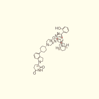 Nc1nnc(-c2ccccc2O)cc1N1C[C@H]2CC[C@@H](C1)N2c1cccc(OC2CCN([C@H]3CC[C@H](c4cccc5c4CCN5[C@@H]4CCC(=O)NC4=O)CC3)CC2)c1